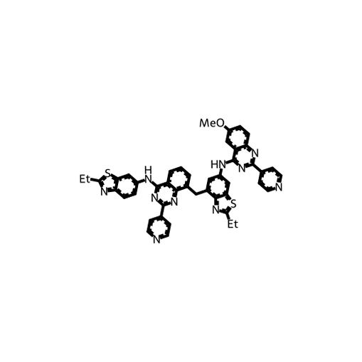 CCc1nc2ccc(Nc3nc(-c4ccncc4)nc4c(Cc5cc(Nc6nc(-c7ccncc7)nc7ccc(OC)cc67)cc6sc(CC)nc56)cccc34)cc2s1